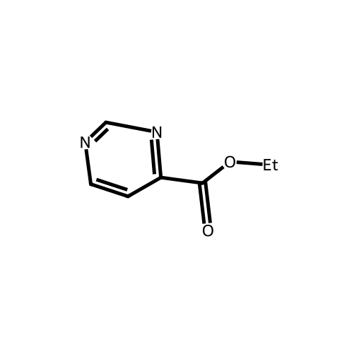 CCOC(=O)c1ccncn1